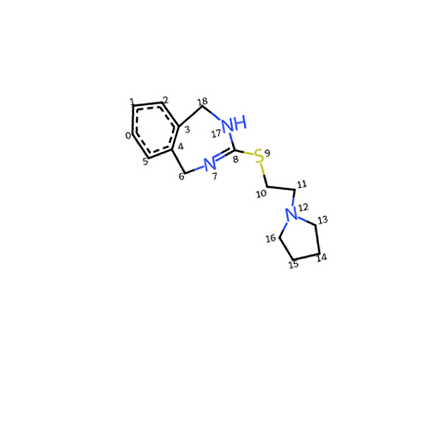 c1ccc2c(c1)CN=C(SCCN1CCCC1)NC2